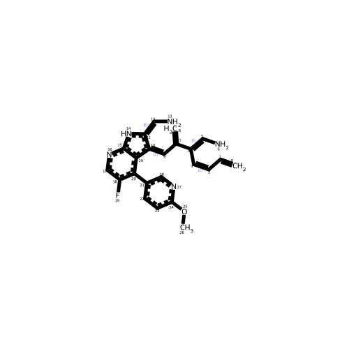 C=C/C=C\C(=C/N)C(=C)/C=c1\c(=C/N)[nH]c2ncc(F)c(-c3ccc(OC)nc3)c12